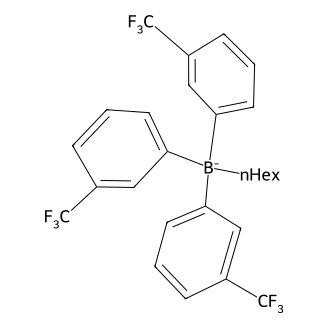 CCCCCC[B-](c1cccc(C(F)(F)F)c1)(c1cccc(C(F)(F)F)c1)c1cccc(C(F)(F)F)c1